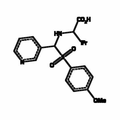 COc1ccc(S(=O)(=O)C(NC(C(=O)O)C(C)C)c2cccnc2)cc1